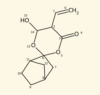 C=CC1C(=O)OC2(CC3CCC2C3)OC1O